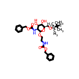 CC(C)(C)[Si](C)(C)OC[C@H]1O[C@H](OCCNC(=O)OCc2ccccc2)[C@@H](NC(=O)OCc2ccccc2)[C@@H](O)[C@@H]1O